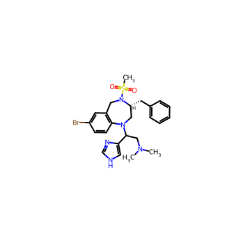 CN(C)CC(c1c[nH]cn1)N1C[C@@H](Cc2ccccc2)N(S(C)(=O)=O)Cc2cc(Br)ccc21